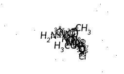 CC#CCn1c(N2CCCC(N)C2)nc2c1c(=O)n(Cc1nc3cc(Cl)ccc3s1)c(=O)n2C